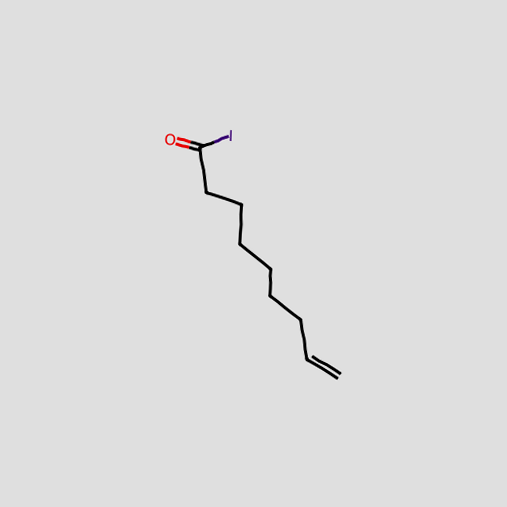 C=CCCCCCCC(=O)I